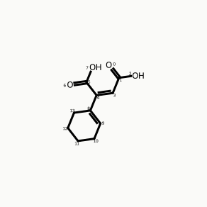 O=C(O)/C=C(\C(=O)O)C1=CCCCC1